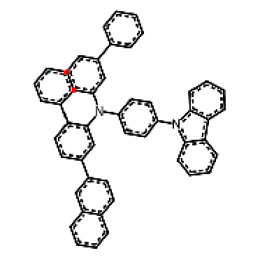 c1ccc(-c2cccc(N(c3ccc(-n4c5ccccc5c5ccccc54)cc3)c3cc(-c4ccc5ccccc5c4)ccc3-c3ccccc3)c2)cc1